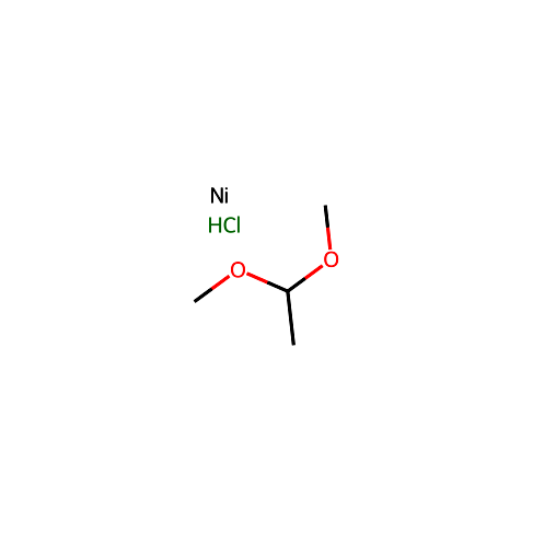 COC(C)OC.Cl.[Ni]